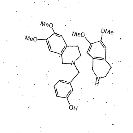 COc1cc2c(cc1OC)CN(Cc1cccc(O)c1)CC2.COc1cc2c(cc1OC)CNCC2